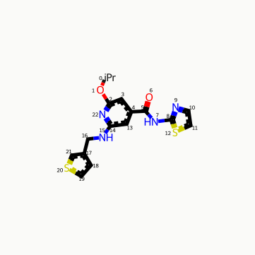 CC(C)Oc1cc(C(=O)Nc2nccs2)cc(NCc2ccsc2)n1